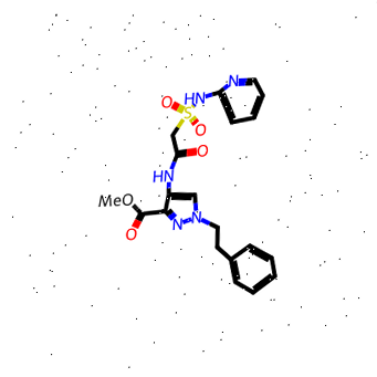 COC(=O)c1nn(CCc2ccccc2)cc1NC(=O)CS(=O)(=O)Nc1ccccn1